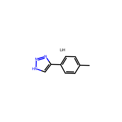 Cc1ccc(-c2c[nH]nn2)cc1.[LiH]